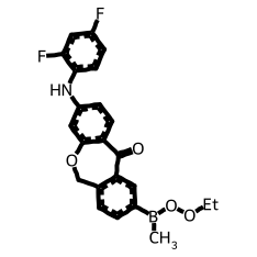 CCOOB(C)c1ccc2c(c1)C(=O)c1ccc(Nc3ccc(F)cc3F)cc1OC2